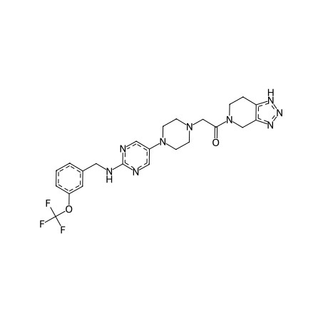 O=C(CN1CCN(c2cnc(NCc3cccc(OC(F)(F)F)c3)nc2)CC1)N1CCc2[nH]nnc2C1